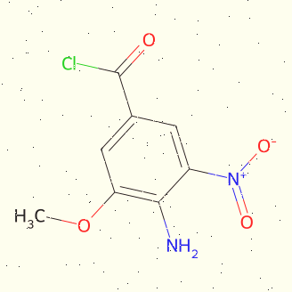 COc1cc(C(=O)Cl)cc([N+](=O)[O-])c1N